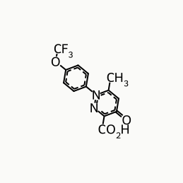 Cc1cc(=O)c(C(=O)O)nn1-c1ccc(OC(F)(F)F)cc1